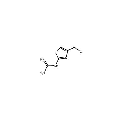 N=C(N)Nc1nc(CCl)cs1